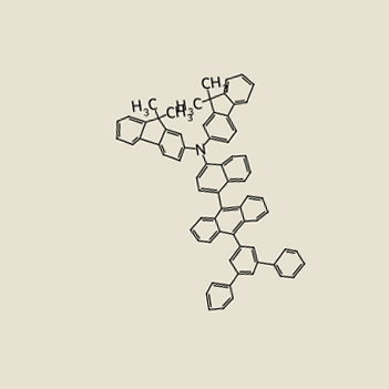 CC1(C)c2ccccc2-c2ccc(N(c3ccc4c(c3)C(C)(C)c3ccccc3-4)c3ccc(-c4c5ccccc5c(-c5cc(-c6ccccc6)cc(-c6ccccc6)c5)c5ccccc45)c4ccccc34)cc21